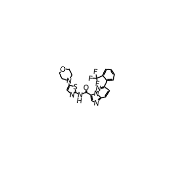 O=C(Nc1ncc(N2CCOCC2)s1)c1cnc2ccc(-c3ccccc3C(F)(F)F)nn12